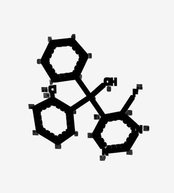 OC(c1ccccc1)(c1ccccc1Cl)c1cncnc1F